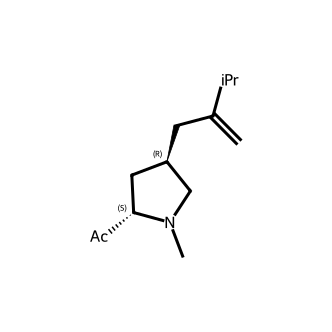 C=C(C[C@@H]1C[C@@H](C(C)=O)N(C)C1)C(C)C